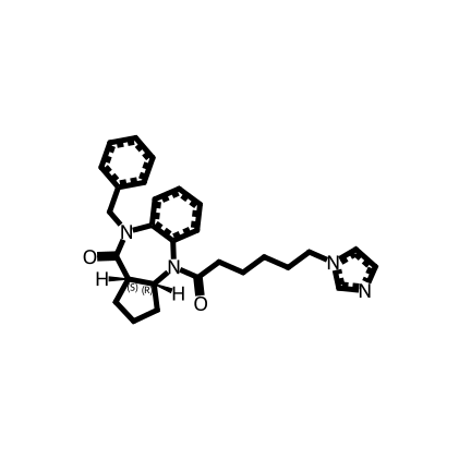 O=C1[C@H]2CCC[C@H]2N(C(=O)CCCCCn2ccnc2)c2ccccc2N1Cc1ccccc1